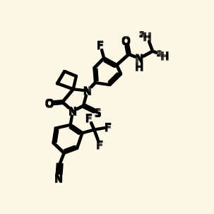 [2H]C([2H])NC(=O)c1ccc(N2C(=S)N(c3ccc(C#N)cc3C(F)(F)F)C(=O)C23CCC3)cc1F